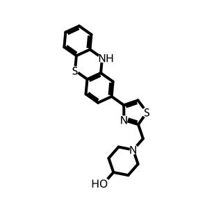 OC1CCN(Cc2nc(-c3ccc4c(c3)Nc3ccccc3S4)cs2)CC1